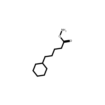 NOC(=O)CCCCC1CCCCC1